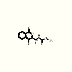 C[C@@H](NC(=O)OC(C)(C)C)c1oc(=O)c2ccccc2c1Br